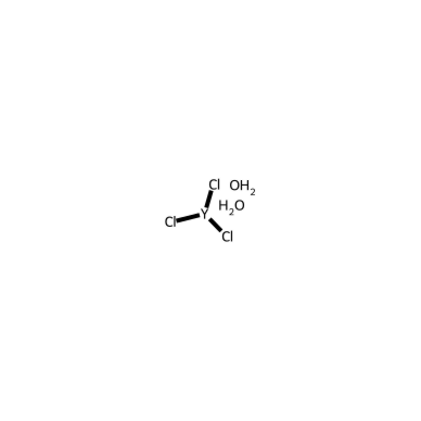 O.O.[Cl][Y]([Cl])[Cl]